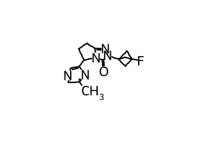 Cc1cncc(C2CCc3nn(C45CC(F)(C4)C5)c(=O)n32)n1